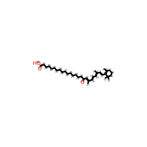 CC(C=CC1=C(C)CCCC1(C)C)=CC=CC(C)=CC(=O)CCCCCCCCCCCCCCCC(=O)O